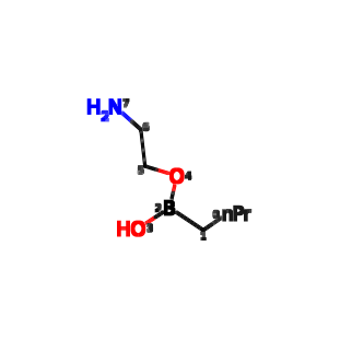 CCCCB(O)OCCN